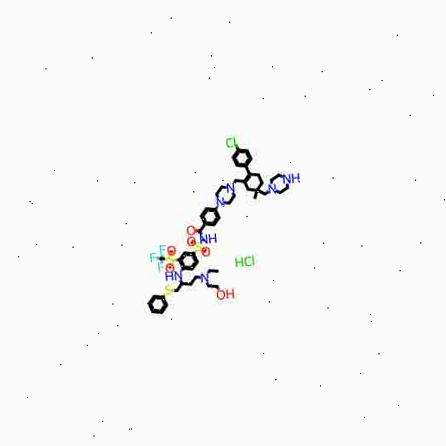 CCN(CCO)CCC(CSc1ccccc1)Nc1ccc(S(=O)(=O)NC(=O)c2ccc(N3CCN(CC4=C(c5ccc(Cl)cc5)CCC(C)(CN5CCNCC5)C4)CC3)cc2)cc1S(=O)(=O)C(F)(F)F.Cl